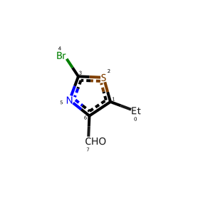 CCc1sc(Br)nc1C=O